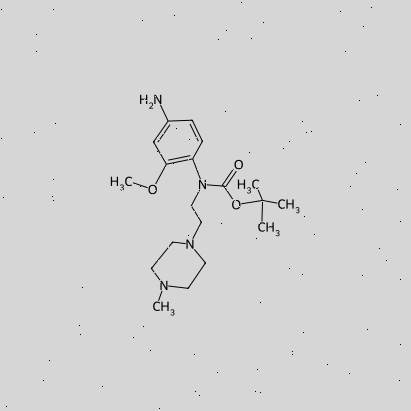 COc1cc(N)ccc1N(CCN1CCN(C)CC1)C(=O)OC(C)(C)C